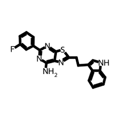 Nc1nc(-c2cccc(F)c2)nc2sc(CCc3c[nH]c4ccccc34)nc12